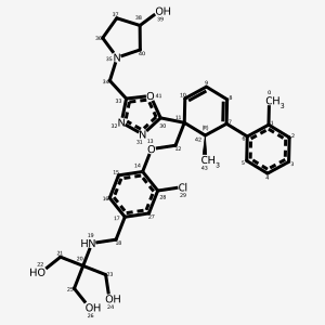 Cc1ccccc1C1=CC=CC(COc2ccc(CNC(CO)(CO)CO)cc2Cl)(c2nnc(CN3CCC(O)C3)o2)[C@@H]1C